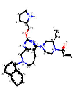 C=CC(=O)N1CCN(c2nc(OC[C@H]3CCCN3C)nc3c2CCCN(c2cccc4ccccc24)C3)C[C@H]1CC#N